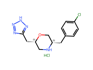 Cl.Clc1ccc(C[C@H]2CO[C@@H](Cc3nn[nH]n3)CN2)cc1